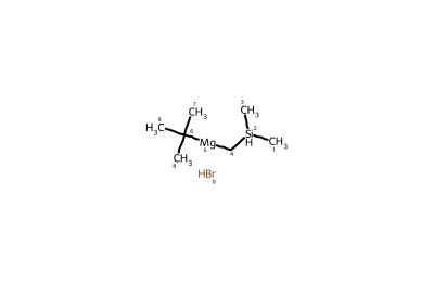 Br.C[SiH](C)[CH2][Mg][C](C)(C)C